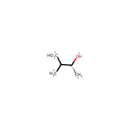 CC(C(=O)O)[C@@H](C)O